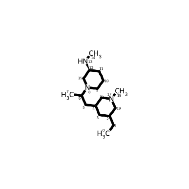 CCC1CC(CC(C)N2CCC[C@H](NC)C2)CN(C)C1